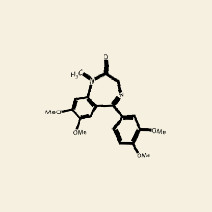 COc1ccc(C2=NCC(=O)N(C)c3cc(OC)c(OC)cc32)cc1OC